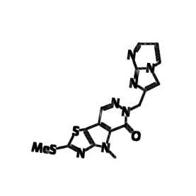 CSc1nc2c(s1)c1cnn(Cc3cn4cccnc4n3)c(=O)c1n2C